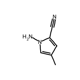 Cc1cc(C#N)n(N)c1